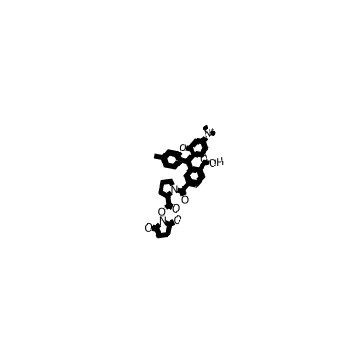 Cc1ccc2c(-c3cc(C(=O)N4CCCC4C(=O)ON4C(=O)CCC4=O)ccc3C(=O)O)c3ccc(=[N+](C)C)cc-3oc2c1